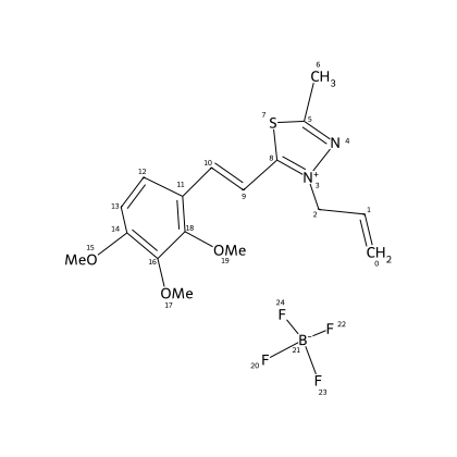 C=CC[n+]1nc(C)sc1C=Cc1ccc(OC)c(OC)c1OC.F[B-](F)(F)F